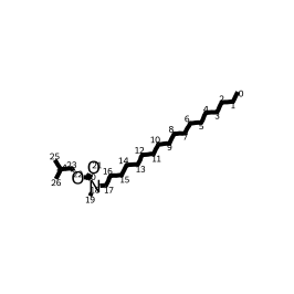 CCCCCCCCCCCCCCCCCCN(C)C(=O)OCC(C)C